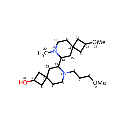 COCCCN1CCC2(CC(O)C2)CC1C1CC2(CCN1C)CC(OC)C2